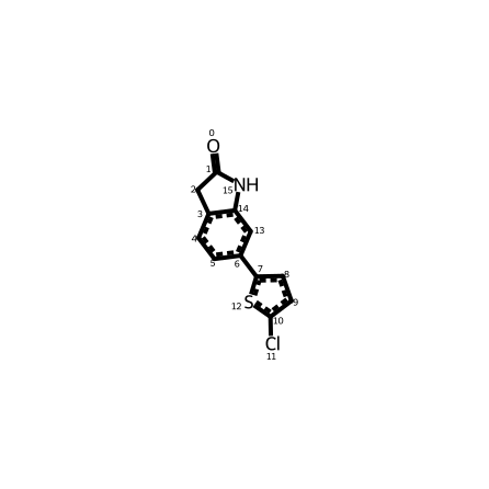 O=C1Cc2ccc(-c3ccc(Cl)s3)cc2N1